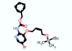 CC(C)(C)[Si](C)(C)OC/C=C\COc1cc(Br)cnc1NC(=O)OCc1ccccc1